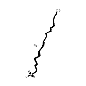 CCCCCCCCC=CCCCCCCS(=O)(=O)[O-].[Na+]